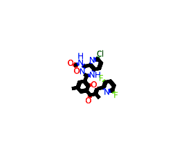 Cc1cc(C(C)Nc2ccc(Cl)nc2-c2noc(=O)[nH]2)c2oc(-c3nc(F)ccc3F)c(C)c(=O)c2c1